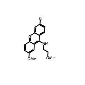 COCCNc1c2ccc(Cl)cc2nc2ccc(OC)cc12